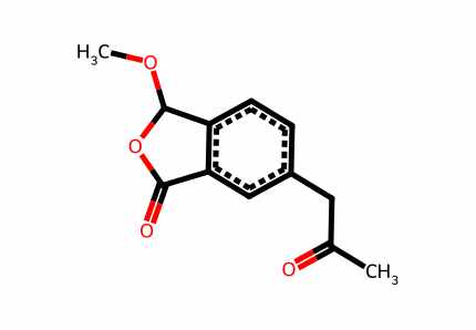 COC1OC(=O)c2cc(CC(C)=O)ccc21